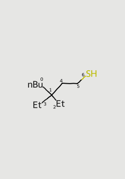 CCCCC(CC)(CC)CCS